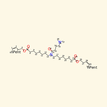 CCCCC/C=C\CCOC(=O)CCCCCCCN(CCCCCCCC(=O)OCC/C=C\CCCCC)C(=O)CCCN(C)C